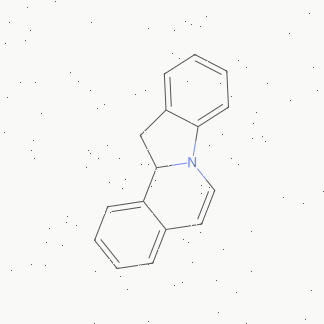 C1=CN2c3ccccc3CC2c2ccccc21